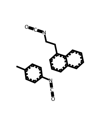 Cc1ccc(N=C=O)cc1.O=C=NCCc1cccc2ccccc12